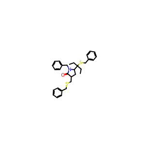 CCC(CC)(SCc1ccccc1)C1CC(CSCc2ccccc2)C(=O)N1Cc1ccccc1